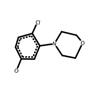 [O]c1ccc(Cl)c(N2CCOCC2)c1